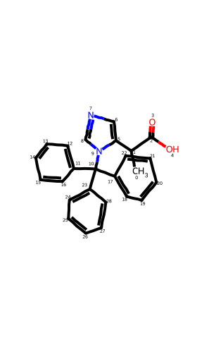 CC(C(=O)O)c1cncn1C(c1ccccc1)(c1ccccc1)c1ccccc1